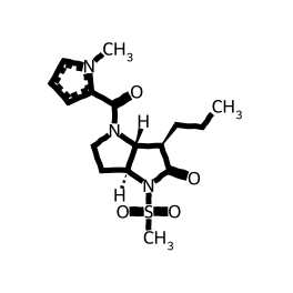 CCC[C@H]1C(=O)N(S(C)(=O)=O)[C@H]2CCN(C(=O)c3cccn3C)[C@H]12